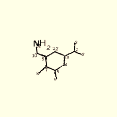 CC(C)C1CC(C)C(C)C(CN)C1